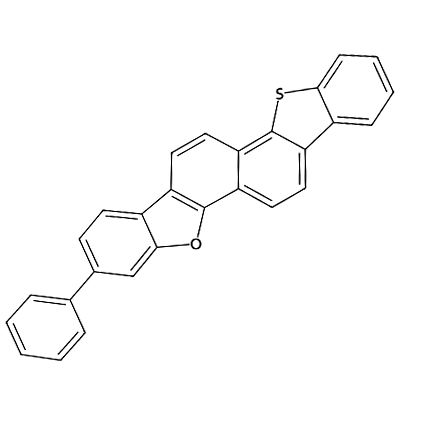 c1ccc(-c2ccc3c(c2)oc2c3ccc3c2ccc2c4ccccc4sc23)cc1